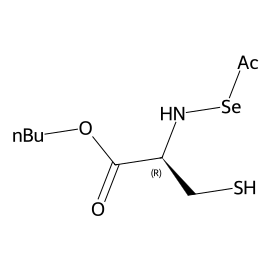 CCCCOC(=O)[C@H](CS)N[Se]C(C)=O